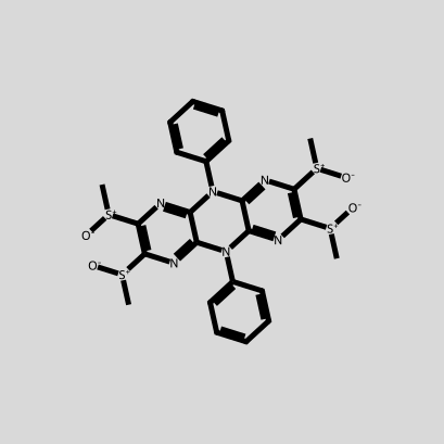 C[S+]([O-])c1nc2c(nc1[S+](C)[O-])N(c1ccccc1)c1nc([S+](C)[O-])c([S+](C)[O-])nc1N2c1ccccc1